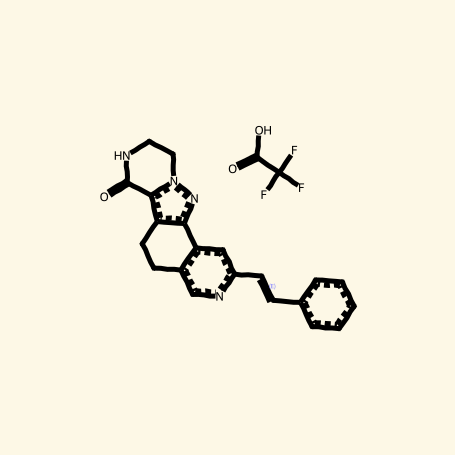 O=C(O)C(F)(F)F.O=C1NCCn2nc3c(c21)CCc1cnc(/C=C/c2ccccc2)cc1-3